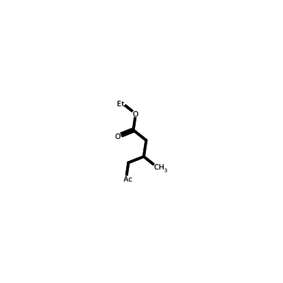 CCOC(=O)CC(C)CC(C)=O